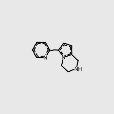 c1ccc(-c2ccc3n2CCNC3)nc1